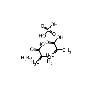 C=C(C)C(=O)O.C=C(C)C(=O)O.O=S(=O)(O)O.[BaH2]